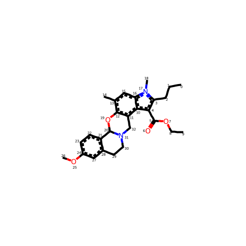 CCCc1c(C(=O)OCC)c2c3c(c(C)cc2n1C)OC1c2ccc(OC)cc2CCN1C3